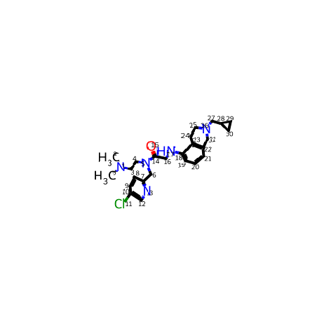 CN(C)CCN(Cc1ccc(Cl)cn1)C(=O)CNc1cccc2c1CCN(CC1CC1)C2